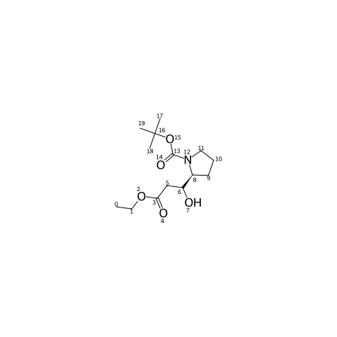 CCOC(=O)CC(O)[C@@H]1CCCN1C(=O)OC(C)(C)C